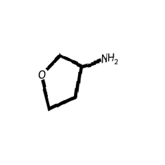 NC1[CH]OCC1